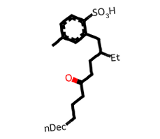 CCCCCCCCCCCCCC(=O)CCC(CC)Cc1cc(C)ccc1S(=O)(=O)O